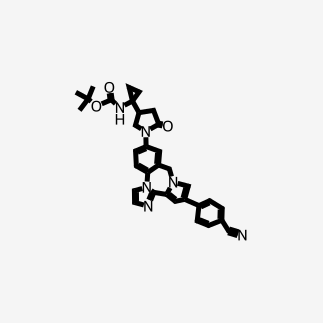 CC(C)(C)OC(=O)NC1(C2CC(=O)N(c3ccc4c(c3)Cn3cc(-c5ccc(C#N)cc5)cc3-c3nccn3-4)C2)CC1